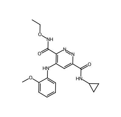 CCONC(=O)c1nnc(C(=O)NC2CC2)cc1Nc1ccccc1OC